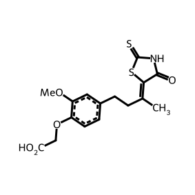 COc1cc(CCC(C)=C2SC(=S)NC2=O)ccc1OCC(=O)O